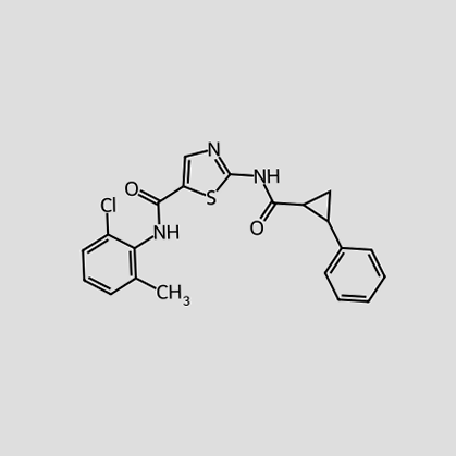 Cc1cccc(Cl)c1NC(=O)c1cnc(NC(=O)C2CC2c2ccccc2)s1